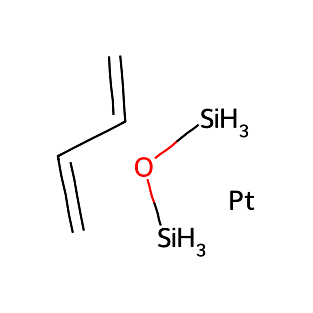 C=CC=C.[Pt].[SiH3]O[SiH3]